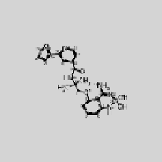 CC(C)(COc1cccc2c1C(N)=NS(O)(O)N2)NC(=O)c1ccnc(-c2ccco2)c1